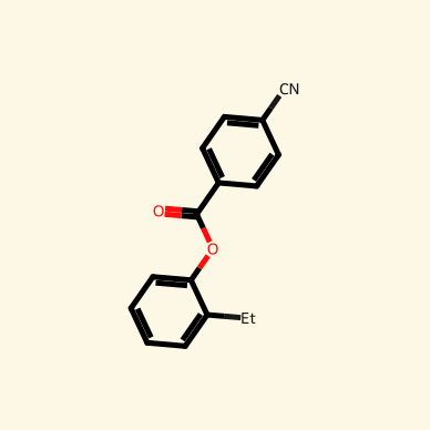 CCc1ccccc1OC(=O)c1ccc(C#N)cc1